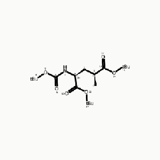 C[C@@H](C[C@H](NC(=O)OC(C)(C)C)C(=O)OC(C)(C)C)C(=O)OC(C)(C)C